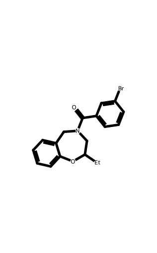 CCC1CN(C(=O)c2cccc(Br)c2)Cc2ccccc2O1